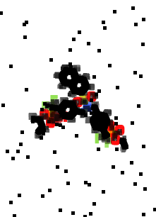 CCOP(=O)(OCC)C(F)(F)c1ccc(CN(Cc2ccc(C(F)(F)P(=O)(O)OC(C)CC)c(Br)c2)S(=O)(=O)c2ccc3ccccc3c2)cc1